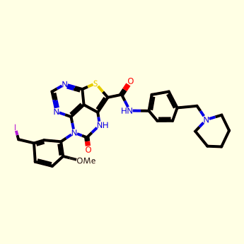 COc1ccc(CI)cc1N1C(=O)Nc2c(C(=O)Nc3ccc(CN4CCCCC4)cc3)sc3ncnc1c23